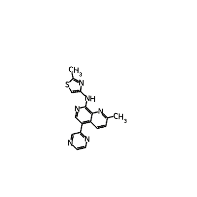 Cc1ccc2c(-c3cnccn3)cnc(Nc3csc(C)n3)c2n1